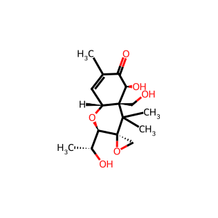 CC1=C[C@H]2O[C@H]([C@@H](C)O)[C@@]3(CO3)C(C)(C)[C@@]2(CO)[C@H](O)C1=O